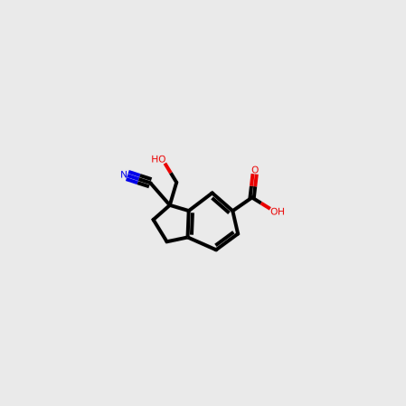 N#CC1(CO)CCc2ccc(C(=O)O)cc21